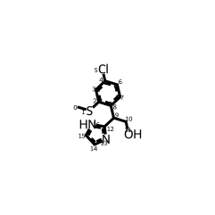 CSc1cc(Cl)ccc1C(CO)c1ncc[nH]1